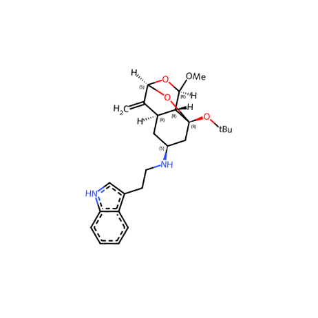 C=C1[C@H]2O[C@@H](OC)[C@H]3[C@H]1C[C@H](NCCc1c[nH]c4ccccc14)C[C@@]3(OC(C)(C)C)O2